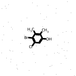 Cc1c(O)cc(Cl)c(Br)c1C